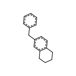 c1ccc(Cc2ccc3c(c2)CCCC3)cc1